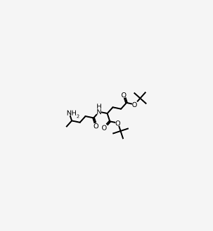 CC(N)CCC(=O)NC(CCC(=O)OC(C)(C)C)C(=O)OC(C)(C)C